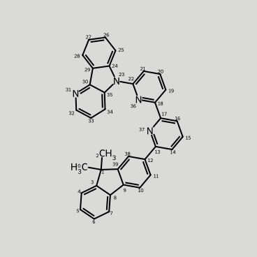 CC1(C)c2ccccc2-c2ccc(-c3cccc(-c4cccc(-n5c6ccccc6c6ncccc65)n4)n3)cc21